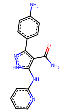 NC(=O)c1c(-c2ccc(N)cc2)n[nH]c1Nc1ccccn1